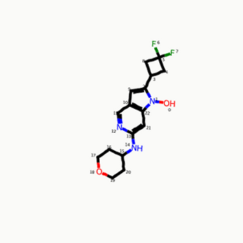 On1c(C2CC(F)(F)C2)cc2cnc(NC3CCOCC3)cc21